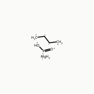 CCCC.O=PO.[MgH2]